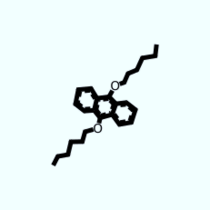 CCCCCCOc1c2ccccc2c(OCCCCCC)c2ccccc12